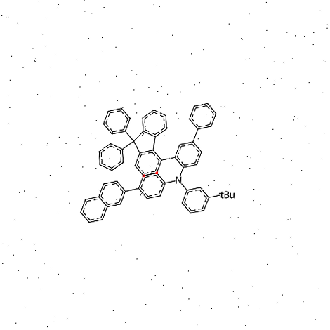 CC(C)(C)c1cccc(N(c2ccc(-c3ccc4ccccc4c3)cc2)c2ccc(-c3ccccc3)cc2-c2cccc3c2-c2ccccc2C3(c2ccccc2)c2ccccc2)c1